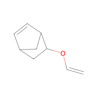 C=COC1CC2C=CC1C2